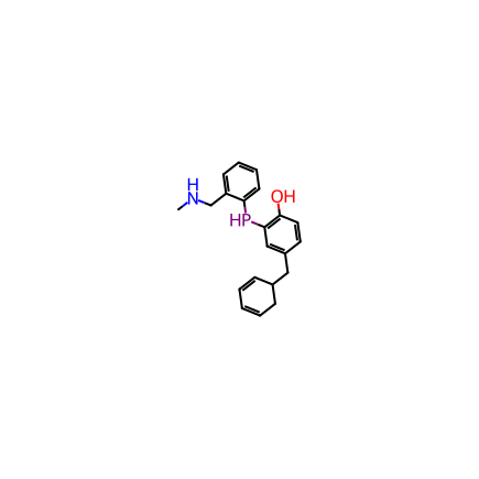 CNCc1ccccc1Pc1cc(CC2C=CC=CC2)ccc1O